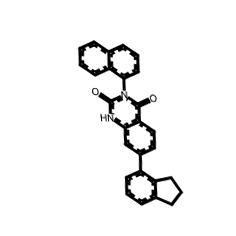 O=c1[nH]c2cc(-c3cccc4c3CCC4)ccc2c(=O)n1-c1cccc2ccccc12